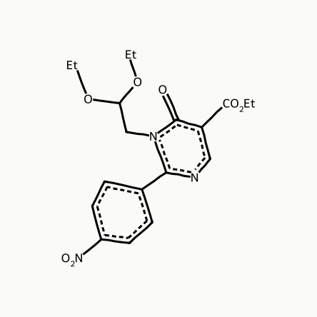 CCOC(=O)c1cnc(-c2ccc([N+](=O)[O-])cc2)n(CC(OCC)OCC)c1=O